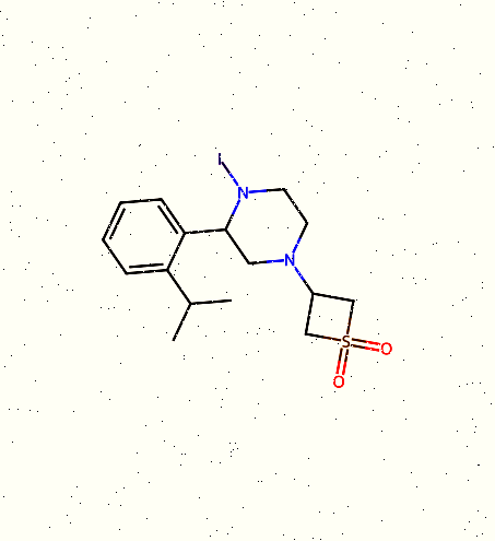 CC(C)c1ccccc1C1CN(C2CS(=O)(=O)C2)CCN1I